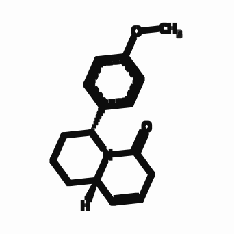 COc1ccc([C@H]2CCC[C@H]3C=CCC(=O)N32)cc1